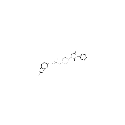 Cc1nc2cc(OC[C@H](O)CN3CCN(C4CC(=O)N(c5ccccc5)C4=O)CC3)ccc2s1